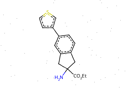 CCOC(=O)C1(N)Cc2ccc(-c3ccsc3)cc2C1